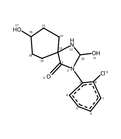 O=C1N(c2ccccc2Cl)C(O)NC12CCC(O)CC2